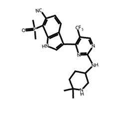 CC1(C)CCC(Nc2ncc(C(F)(F)F)c(-c3c[nH]c4c(P(C)(C)=O)c(C#N)ccc34)n2)CN1